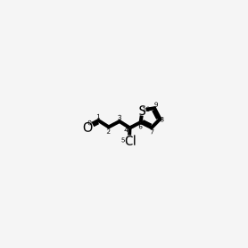 O=CCCC(Cl)c1cccs1